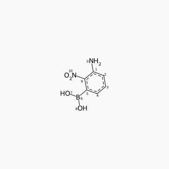 Nc1cccc(B(O)O)c1[N+](=O)[O-]